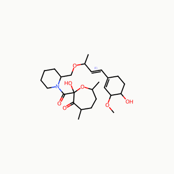 COC1C=C(/C=C/C(C)OCC2CCCCN2C(=O)C2(O)OC(C)CCC(C)C2=O)CCC1O